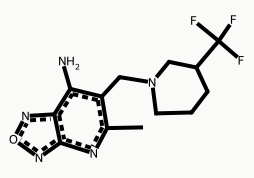 Cc1nc2nonc2c(N)c1CN1CCCC(C(F)(F)F)C1